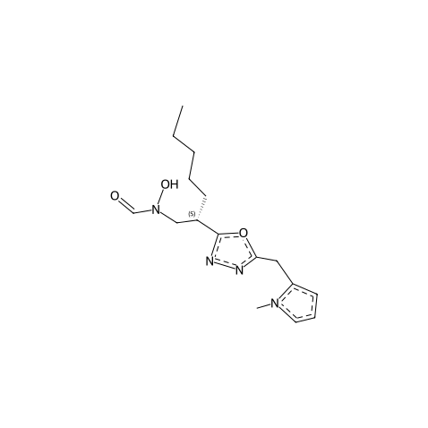 CCCCC[C@@H](CN(O)C=O)c1nnc(Cc2cccn2C)o1